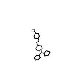 Clc1ccc(C=NC2CCN(C(c3ccccc3)c3ccccc3)CC2)cc1